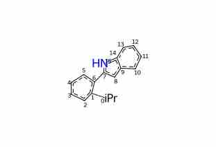 CC(C)c1ccccc1-c1cc2ccccc2[nH]1